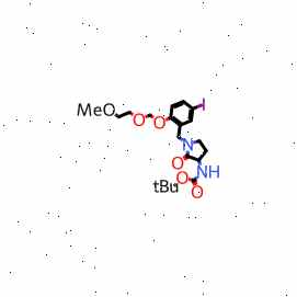 COCCOCOc1ccc(I)cc1CN1CCC(NC(=O)OC(C)(C)C)C1=O